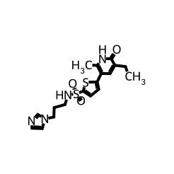 CCc1cc(-c2ccc(S(=O)(=O)NCCCn3ccnc3)s2)c(C)[nH]c1=O